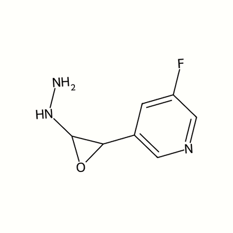 NNC1OC1c1cncc(F)c1